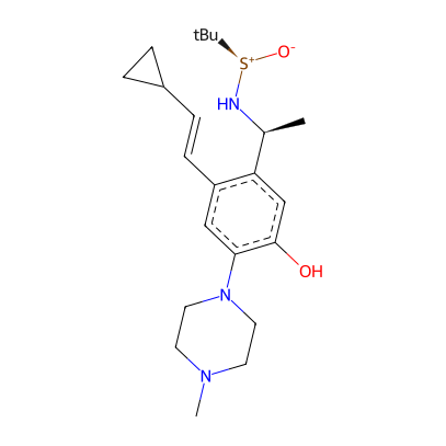 C[C@H](N[S@+]([O-])C(C)(C)C)c1cc(O)c(N2CCN(C)CC2)cc1/C=C/C1CC1